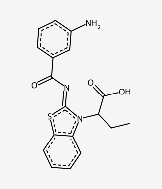 CCC(C(=O)O)n1c(=NC(=O)c2cccc(N)c2)sc2ccccc21